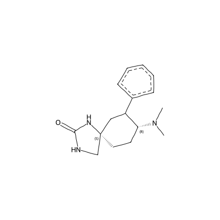 CN(C)[C@@H]1CC[C@@]2(CNC(=O)N2)CC1c1ccccc1